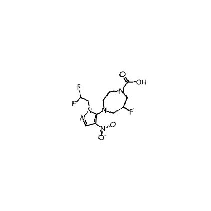 O=C(O)N1CCN(c2c([N+](=O)[O-])cnn2CC(F)F)CC(F)C1